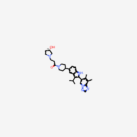 Cc1c(-c2[nH]c3ccc(C4CCN(C(=O)CCN5CC[C@H](O)C5)CC4)cc3c2C(C)C)cn2ncnc2c1C